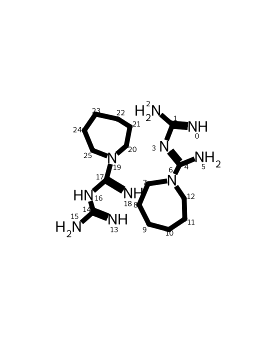 N=C(N)N=C(N)N1CCCCCC1.N=C(N)NC(=N)N1CCCCCC1